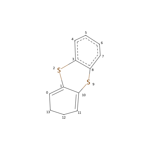 C1=C2Sc3ccccc3SC2=CCC1